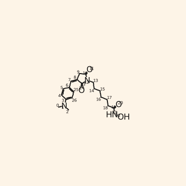 CN(C)c1ccc(C=C2CC(=O)N(CCCCCCC(=O)NO)C2=O)cc1